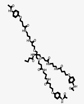 CCCC(=O)NC(COCCC(=O)NCCCNC(=O)CCCOc1ccc(NC(C)=O)cc1)(COCCC(=O)NCCCNC(=O)CCCOc1ccc(NC(C)=O)cc1)COCCC(=O)NCCCNC(=O)CCCOc1ccc(NC(C)=O)cc1